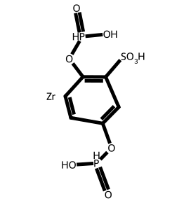 O=[PH](O)Oc1ccc(O[PH](=O)O)c(S(=O)(=O)O)c1.[Zr]